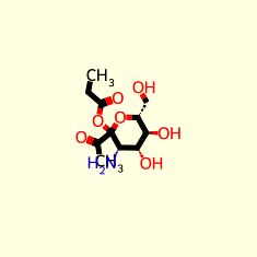 CCC(=O)OC1(C(C)=O)O[C@H](CO)[C@@H](O)[C@H](O)[C@@H]1N